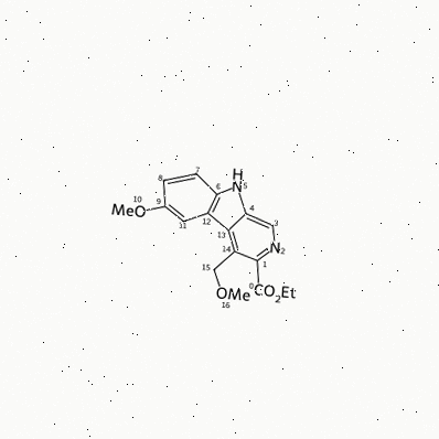 CCOC(=O)c1ncc2[nH]c3ccc(OC)cc3c2c1COC